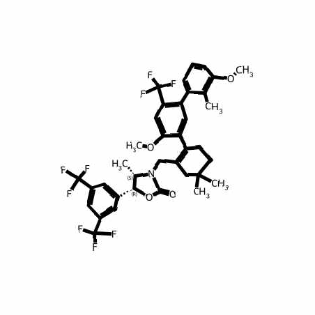 COc1cc(C(F)(F)F)c(-c2cccc(OC)c2C)cc1C1=C(CN2C(=O)O[C@H](c3cc(C(F)(F)F)cc(C(F)(F)F)c3)[C@@H]2C)CC(C)(C)CC1